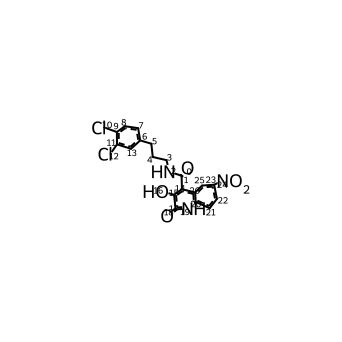 O=C(NCCCc1ccc(Cl)c(Cl)c1)c1c(O)c(=O)[nH]c2ccc([N+](=O)[O-])cc12